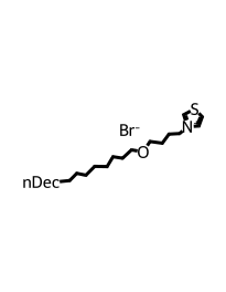 CCCCCCCCCCCCCCCCCCOCCCC[n+]1ccsc1.[Br-]